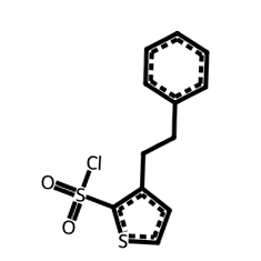 O=S(=O)(Cl)c1sccc1CCc1ccccc1